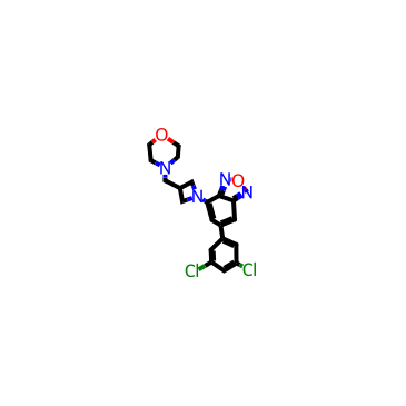 Clc1cc(Cl)cc(-c2cc(N3CC(CN4CCOCC4)C3)c3nonc3c2)c1